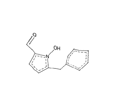 O=Cc1ccc(Cc2ccccc2)n1O